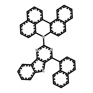 c1ccc2c(-c3nc(N4c5ccc6ccccc6c5-c5cccc6cccc4c56)nc4c3sc3ccccc34)cccc2c1